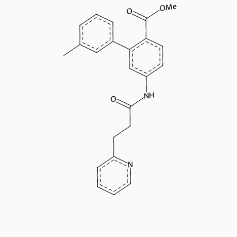 COC(=O)c1ccc(NC(=O)CCc2ccccn2)cc1-c1cccc(C)c1